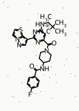 C[C@@H](Nc1cc(C(=O)N2CCC(NC(=O)c3ccc(F)cc3)CC2)nc(-c2cnn3ccsc23)n1)C(C)(C)C